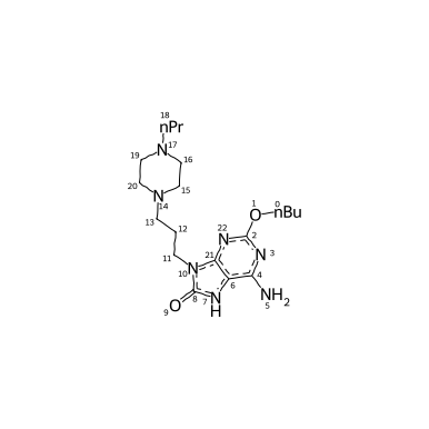 CCCCOc1nc(N)c2[nH]c(=O)n(CCCN3CCN(CCC)CC3)c2n1